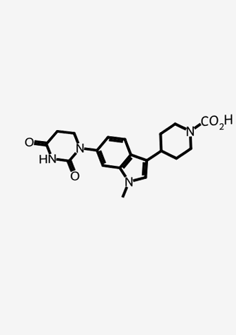 Cn1cc(C2CCN(C(=O)O)CC2)c2ccc(N3CCC(=O)NC3=O)cc21